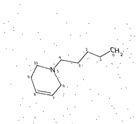 [CH2]CCCCN1CC=CCC1